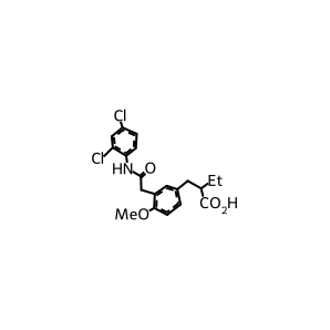 CCC(Cc1ccc(OC)c(CC(=O)Nc2ccc(Cl)cc2Cl)c1)C(=O)O